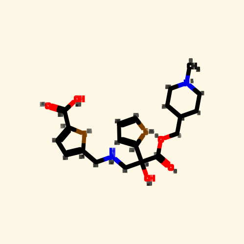 CN1CCC(COC(=O)C(O)(CNCc2ccc(C(=O)O)s2)c2cccs2)CC1